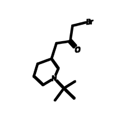 CC(C)(C)N1CCCC(CC(=O)CBr)C1